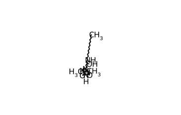 CCCCCCCCCCCCCCNCC(O)CCN1CN(C)c2c1n(C)c(=O)[nH]c2=O